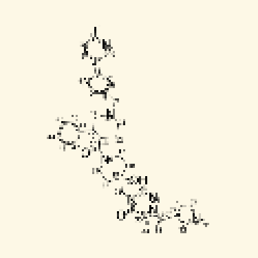 Cc1ccc(-c2ncc(CN3CC[C@@H](C(=O)N4CCC(O)(Cn5cnn6c(-c7ccn(C)c7)ccc6c5=O)CC4)[C@H](c4ccccc4)C3)s2)cn1